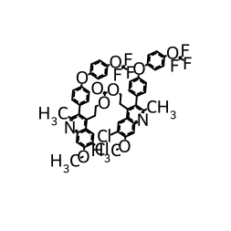 COc1cc2nc(C)c(-c3ccc(Oc4ccc(OC(F)(F)F)cc4)cc3)c(CCOC(=O)OCCc3c(-c4ccc(Oc5ccc(OC(F)(F)F)cc5)cc4)c(C)nc4cc(OC)c(Cl)cc34)c2cc1Cl